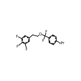 CCCc1ccc(C(F)(F)OCCc2cc(F)c(F)c(F)c2)cc1